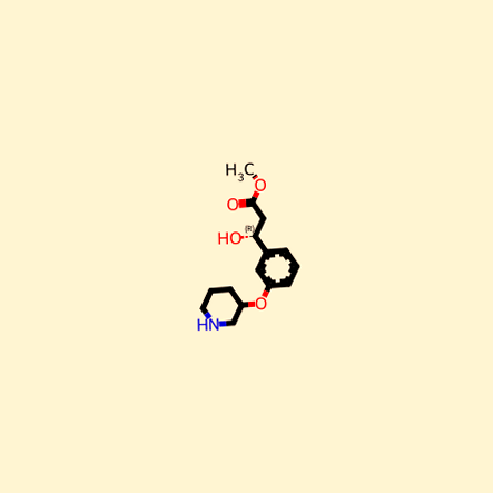 COC(=O)C[C@@H](O)c1cccc(OC2CCCNC2)c1